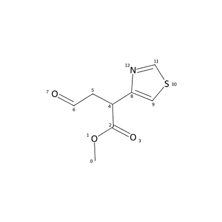 COC(=O)C(CC=O)c1cscn1